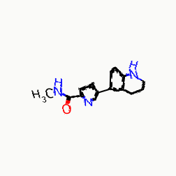 CNC(=O)c1ccc(-c2ccc3c(c2)CCCN3)cn1